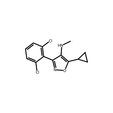 [CH2]Nc1c(-c2c(Cl)cccc2Cl)noc1C1CC1